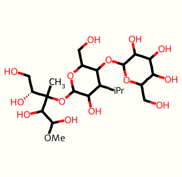 COC(O)C(O)C(C)(OC1OC(CO)C(OC2OC(CO)C(O)C(O)C2O)C(C(C)C)C1O)[C@H](O)CO